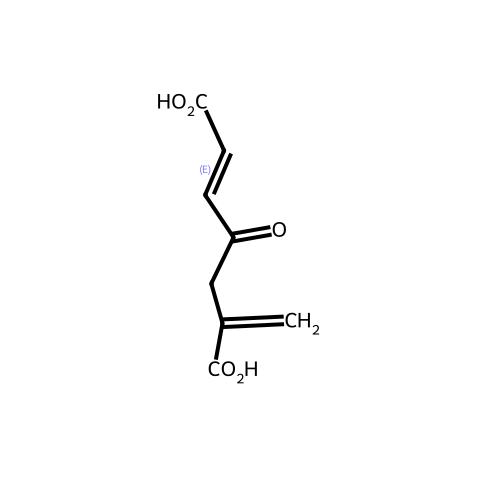 C=C(CC(=O)/C=C/C(=O)O)C(=O)O